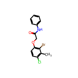 Cc1c(Cl)ccc(OCC(=O)Nc2ccccc2)c1Br